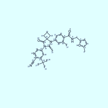 Cc1ccc(CNC(=O)c2ccc(N3C(=S)N(c4cnc(C#N)c(C(F)(F)F)c4)C(=O)C34CCC4)cc2F)o1